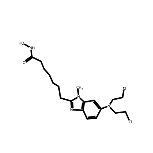 Cn1c(CCCCCCC(=O)NO)nc2ccc(N(CCCl)CCCl)cc21